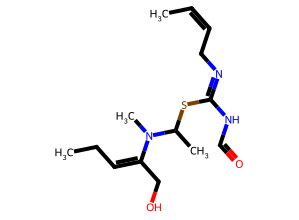 C/C=C\C/N=C(/NC=O)SC(C)N(C)/C(=C\CC)CO